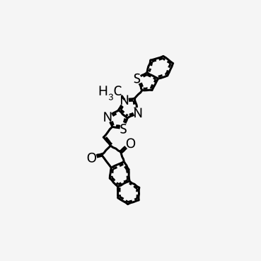 Cn1c(-c2cc3ccccc3s2)nc2sc(C=C3C(=O)c4cc5ccccc5cc4C3=O)nc21